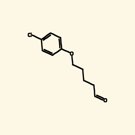 O=CCCCCOc1ccc(Cl)cc1